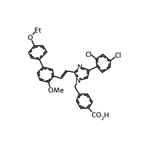 CCOc1ccc(-c2ccc(OC)c(C=Cc3nc(-c4ccc(Cl)cc4Cl)cn3Cc3ccc(C(=O)O)cc3)c2)cc1